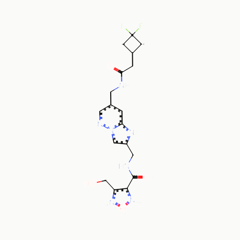 O=C(CC1CC(F)(F)C1)NCc1cnn2cc(CNC(=O)c3nonc3CO)nc2c1